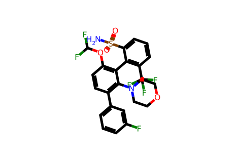 NS(=O)(=O)c1cccc(C(F)(F)F)c1-c1c(OC(F)F)ccc(-c2cccc(F)c2)c1N1CCOCC1